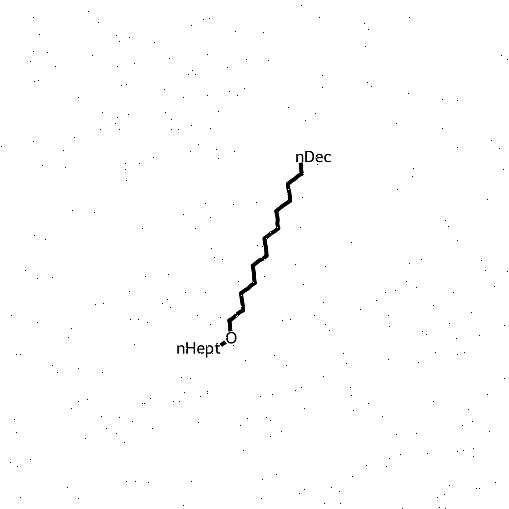 CCCCCCCCCCCCCCCCCCCCCCOCCCCCCC